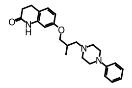 CC(COc1ccc2c(c1)NC(=O)CC2)CN1CCN(c2ccccc2)CC1